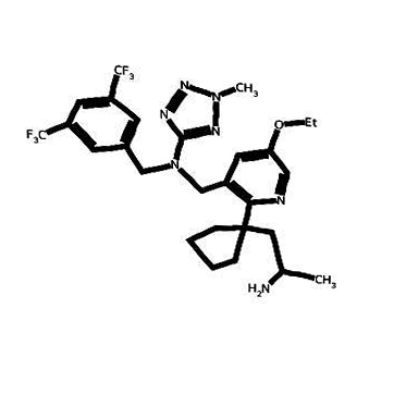 CCOc1cnc(C2(CC(C)N)CCCC2)c(CN(Cc2cc(C(F)(F)F)cc(C(F)(F)F)c2)c2nnn(C)n2)c1